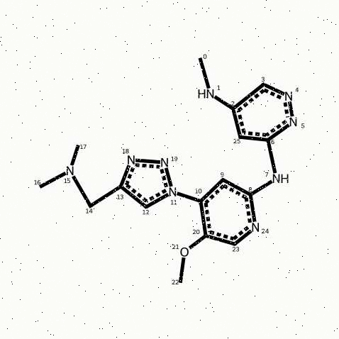 CNc1cnnc(Nc2cc(-n3cc(CN(C)C)nn3)c(OC)cn2)c1